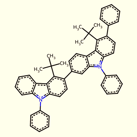 CC(C)(C)c1c(-c2ccc3c4c(C(C)(C)C)c(-c5ccccc5)ccc4n(-c4ccccc4)c3c2)ccc2c1c1ccccc1n2-c1ccccc1